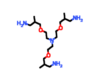 CC(CN)COCCN(CCOCC(C)CN)CCOCC(C)CN